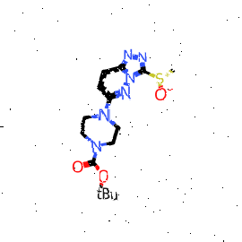 C[S+]([O-])c1nnc2ccc(N3CCN(C(=O)OC(C)(C)C)CC3)nn12